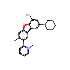 Cc1cc2oc3c(C#N)cc(C4CCCCC4)cc3c2cc1-c1cccc[n+]1C